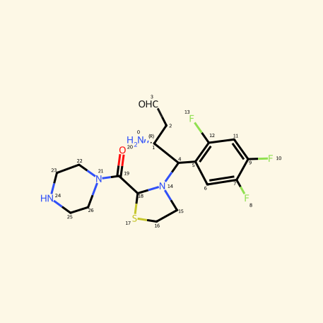 N[C@H](CC=O)C(c1cc(F)c(F)cc1F)N1CCSC1C(=O)N1CCNCC1